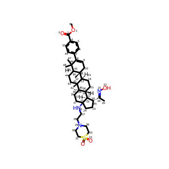 COC(=O)c1ccc(C2=CC[C@]3(C)[C@H]4CC[C@@H]5[C@H]6[C@H](C(C)=NO)CC[C@]6(NCCN6CCS(=O)(=O)CC6)CC[C@@]5(C)[C@]4(C)CC[C@H]3C2(C)C)cc1